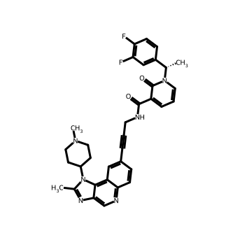 Cc1nc2cnc3ccc(C#CCNC(=O)c4cccn([C@@H](C)c5ccc(F)c(F)c5)c4=O)cc3c2n1C1CCN(C)CC1